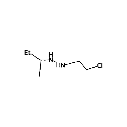 CCC(C)NNCCCl